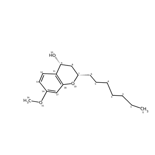 CCCCCCC[C@H]1C[C@@H](O)c2ccc(OC)cc2O1